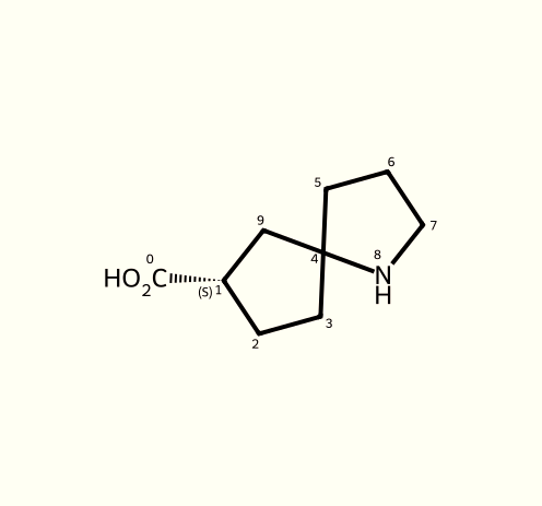 O=C(O)[C@H]1CCC2(CCCN2)C1